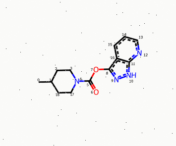 CC1CCN(C(=O)Oc2n[nH]c3ncccc23)CC1